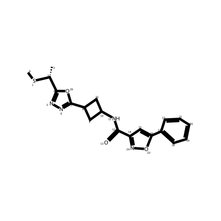 CS[C@H](C)c1nnc(C2CC(NC(=O)c3cc(-c4ccccc4)on3)C2)o1